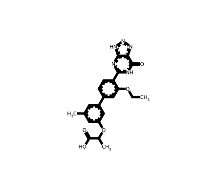 CCOc1cc(-c2cc(C)cc(OC(C)C(=O)O)c2)ccc1-c1nc2[nH]nnc2c(=O)[nH]1